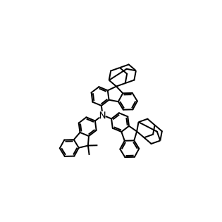 CC1(C)c2ccccc2-c2ccc(N(c3ccc4c(c3)-c3ccccc3C43C4CC5CC(C4)CC3C5)c3cccc4c3-c3ccccc3C43C4CC5CC(C4)CC3C5)cc21